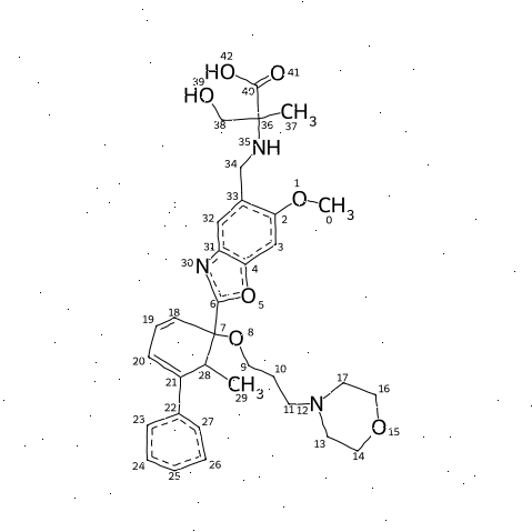 COc1cc2oc(C3(OCCCN4CCOCC4)C=CC=C(c4ccccc4)C3C)nc2cc1CNC(C)(CO)C(=O)O